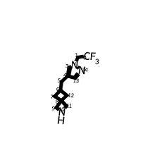 FC(F)(F)Cn1cc(CC2CC3(CNC3)C2)cn1